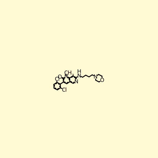 Cn1c(=O)c(-c2c(Cl)cccc2Cl)cc2cnc(NCCCCN3CCOCC3)cc21